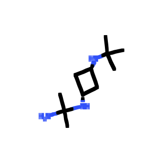 CC(C)(C)N[C@H]1C[C@H](NC(C)(C)N)C1